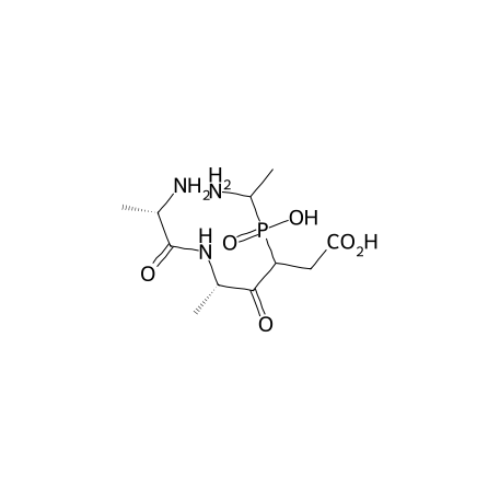 CC(N)P(=O)(O)C(CC(=O)O)C(=O)[C@H](C)NC(=O)[C@H](C)N